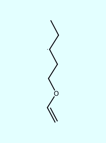 C=COCC[CH]CC